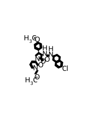 COCCn1cccc(N2C[C@@H](c3ccc(OC)cc3)[C@H](NC(=O)NC3CCc4cc(Cl)ccc4C3)C2=O)c1=O